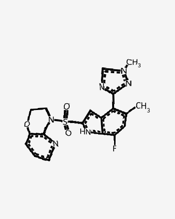 Cc1cc(F)c2[nH]c(S(=O)(=O)N3CCOc4cccnc43)cc2c1-c1ncn(C)n1